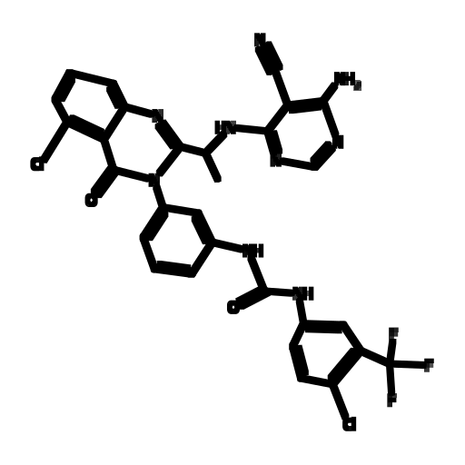 CC(Nc1ncnc(N)c1C#N)c1nc2cccc(Cl)c2c(=O)n1-c1cccc(NC(=O)Nc2ccc(Cl)c(C(F)(F)F)c2)c1